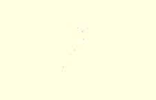 C[Si](C)(C)CCOCn1ccc2nc(-c3c(OC4CC4)ncnc3C3CC3)ncc21